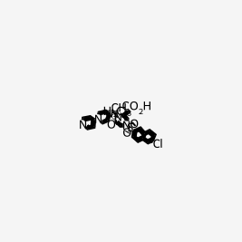 CN(C1CCN(c2ccncc2)CC1)N1C(=O)CN(S(=O)(=O)c2ccc3cc(Cl)ccc3c2)CC1(C)CC(=O)O